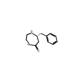 O=C1C[C@@H](Cc2ccccc2)NCCN1